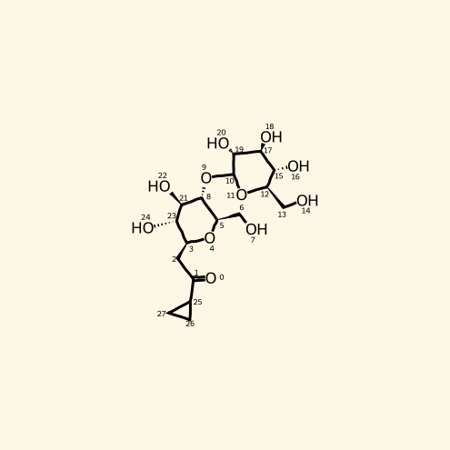 O=C(C[C@@H]1O[C@H](CO)[C@@H](OC2O[C@H](CO)[C@@H](O)[C@H](O)[C@H]2O)[C@H](O)[C@H]1O)C1CC1